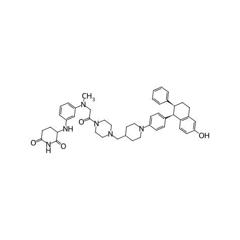 CN(CC(=O)N1CCN(CC2CCN(c3ccc([C@@H]4c5ccc(O)cc5CC[C@@H]4c4ccccc4)cc3)CC2)CC1)c1cccc(NC2CCC(=O)NC2=O)c1